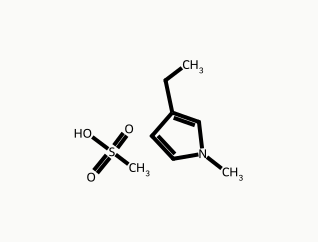 CCc1ccn(C)c1.CS(=O)(=O)O